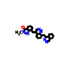 Cn1cnc2c(Cc3cnnc4c(Cc5nncc6ccccc56)cccc34)cccc2c1=O